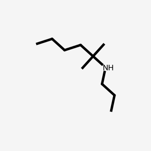 CCCCC(C)(C)NCCC